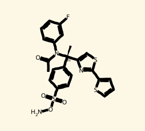 CC(=O)N(c1cccc(F)c1)[C@@](C)(c1ccc(S(=O)(=O)ON)cc1)c1csc(-c2cccs2)n1